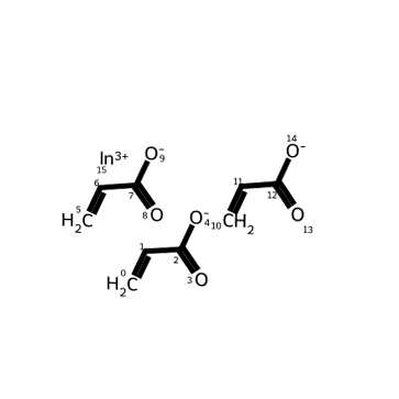 C=CC(=O)[O-].C=CC(=O)[O-].C=CC(=O)[O-].[In+3]